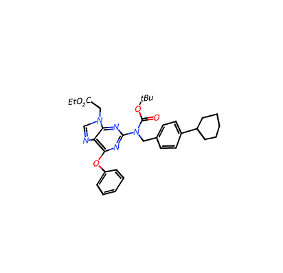 CCOC(=O)Cn1cnc2c(Oc3ccccc3)nc(N(Cc3ccc(C4CCCCC4)cc3)C(=O)OC(C)(C)C)nc21